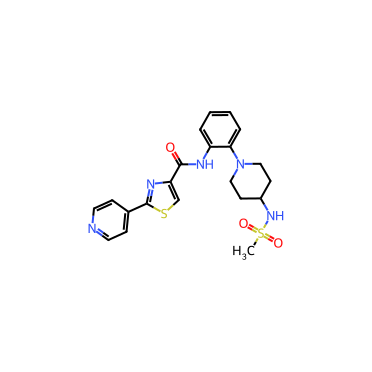 CS(=O)(=O)NC1CCN(c2ccccc2NC(=O)c2csc(-c3ccncc3)n2)CC1